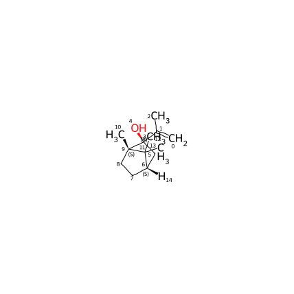 C=C(C)[C@]1(O)C[C@@H]2CC[C@@]1(C)C2(C)C